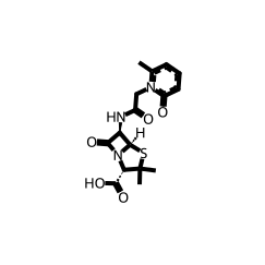 Cc1cccc(=O)n1CC(=O)N[C@@H]1C(=O)N2[C@@H]1SC(C)(C)[C@@H]2C(=O)O